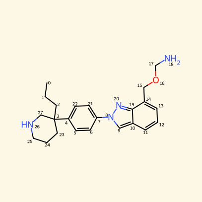 CCCC1(c2ccc(-n3cc4cccc(COCN)c4n3)cc2)CCCNC1